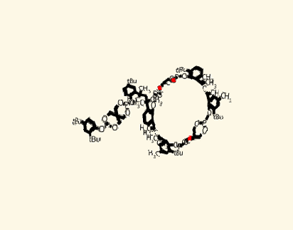 Cc1cc2c(c(C(C)(C)C)c1)OP1OCC3(CO1)COP(OC3)Oc1c(C(C)(C)C)cc(C)cc1C(C)(C)CC(C)(C)c1cccc(C(C)(C)CC(C)(C)c3cc(C(C)(C)C)ccc3OP3OCC4(COP(Oc5ccc(C(C)(C)C)cc5C(C)(C)C)OC4)CO3)c1OP1OCC3(COP(OC3)Oc3c(C(C)(C)C)cccc3C(C)(C)CC2C)CO1